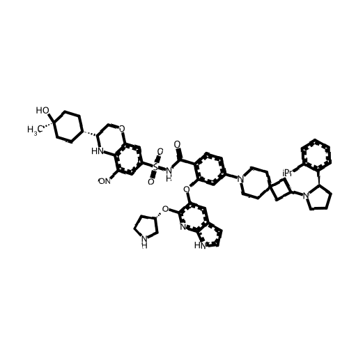 CC(C)c1ccccc1[C@H]1CCCN1C1CC2(CCN(c3ccc(C(=O)NS(=O)(=O)c4cc(N=O)c5c(c4)OCC([C@H]4CC[C@](C)(O)CC4)N5)c(Oc4cc5cc[nH]c5nc4O[C@H]4CCNC4)c3)CC2)C1